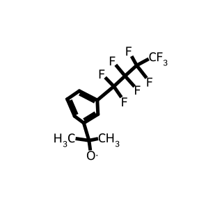 CC(C)([O])c1cccc(C(F)(F)C(F)(F)C(F)(F)C(F)(F)F)c1